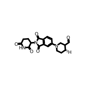 [2H]C1CCN(c2ccc3c(c2)C(=O)N(C2CCC(=O)NC2=O)C3=O)CC1C=O